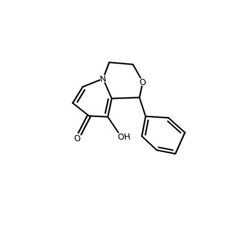 O=c1ccn2c(c1O)C(c1ccccc1)OCC2